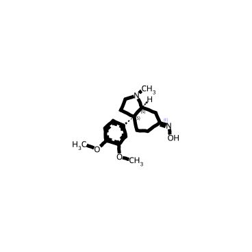 COc1ccc([C@@]23CC/C(=N\O)C[C@@H]2N(C)CC3)cc1OC